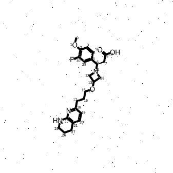 COc1ccc([C@@H](CC(=O)O)N2CC(OCCCc3ccc4c(n3)NCCC4)C2)cc1F